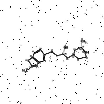 Cc1nc2cc(OC[C@H](O)CN3CCN[C@@H](C)C3)ccc2s1